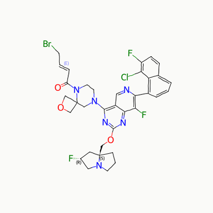 O=C(/C=C/CBr)N1CCN(c2nc(OC[C@@]34CCCN3C[C@H](F)C4)nc3c(F)c(-c4cccc5ccc(F)c(Cl)c45)ncc23)CC12COC2